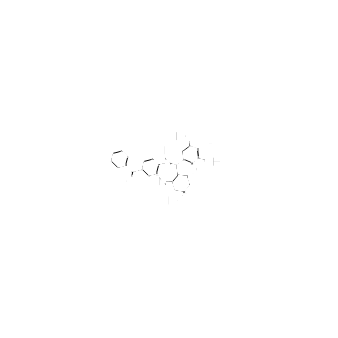 Cc1cc(C2Nc3ccc(C(=O)c4ccccc4)cc3NC3=C2C(=O)CC(C)(C)C3)cc(C)c1O